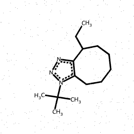 CCC1CCCCCc2c1nnn2C(C)(C)C